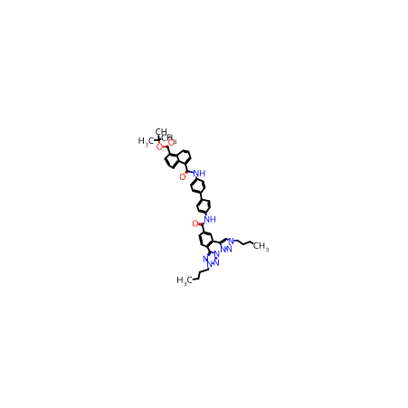 CCCCn1cc(-c2cc(C(=O)Nc3ccc(-c4ccc(NC(=O)c5cccc6c(C(=O)OC(C)(C)C)cccc56)cc4)cc3)ccc2-c2nnn(CCCC)n2)nn1